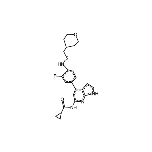 O=C(Nc1cc(-c2ccc(NSCC3CCOCC3)c(F)c2)c2cc[nH]c2n1)C1CC1